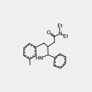 CCN(CC)C(=O)CC1Cc2cccc(C)c2NC1c1ccccc1